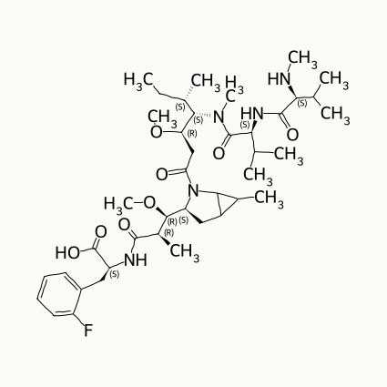 CC[C@H](C)[C@@H]([C@@H](CC(=O)N1C2C(C)C2C[C@H]1[C@H](OC)[C@@H](C)C(=O)N[C@@H](Cc1ccccc1F)C(=O)O)OC)N(C)C(=O)[C@@H](NC(=O)[C@@H](NC)C(C)C)C(C)C